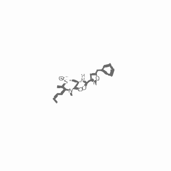 C=C1/C(=C\C=C/C)N(C)C(=O)[C@@H](NC(=O)c2cc(Cc3ccccc3)on2)C[S@@+]1[O-]